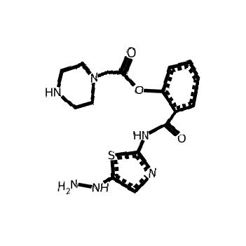 NNc1cnc(NC(=O)c2ccccc2OC(=O)N2CCNCC2)s1